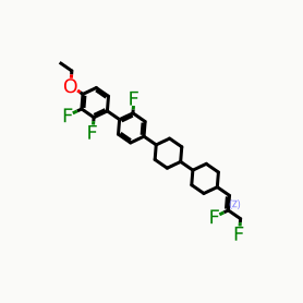 CCOc1ccc(-c2ccc(C3CCC(C4CCC(/C=C(\F)CF)CC4)CC3)cc2F)c(F)c1F